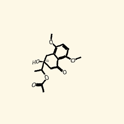 COc1ccc(OC)c2c1C[C@@](O)(C(C)OC(C)=O)CC2=O